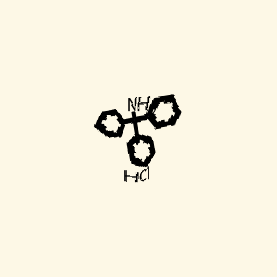 Cl.NC(c1ccccc1)(c1ccccc1)c1ccccc1